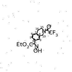 CCOC(=O)C(=NO)c1ccc2c(c1)CN(C(=O)C(F)(F)F)CC2